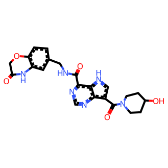 O=C1COc2ccc(CNC(=O)c3ncnc4c(C(=O)N5CCC(O)CC5)c[nH]c34)cc2N1